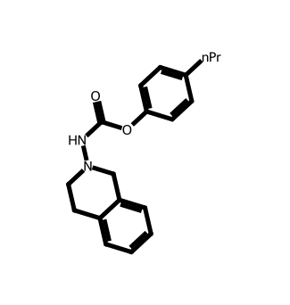 CCCc1ccc(OC(=O)NN2CCc3ccccc3C2)cc1